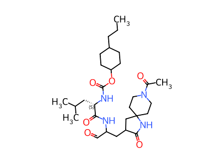 CCCC1CCC(OC(=O)N[C@@H](CC(C)C)C(=O)NC(C=O)CC2CC3(CCN(C(C)=O)CC3)NC2=O)CC1